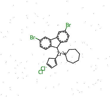 Brc1ccc2c(c1)-c1cc(Br)ccc1[CH]2[Zr+2]([C]1=CC=CC1)=[C]1CCCCCC1.[Cl-].[Cl-]